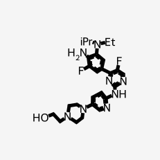 CCN(c1cc(-c2nc(Nc3ccc(N4CCN(CCO)CC4)cn3)ncc2F)cc(F)c1N)C(C)C